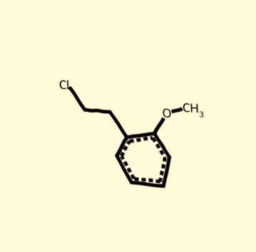 COc1ccccc1CCCl